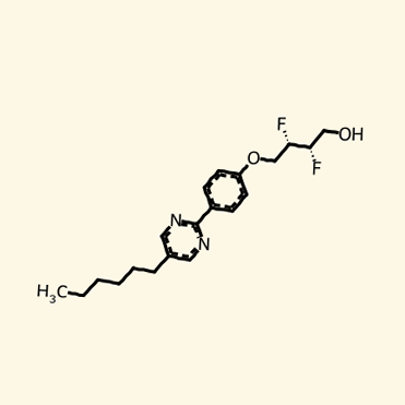 CCCCCCc1cnc(-c2ccc(OC[C@H](F)[C@@H](F)CO)cc2)nc1